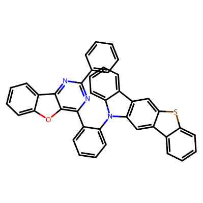 c1ccc(-c2nc(-c3ccccc3-n3c4ccccc4c4cc5sc6ccccc6c5cc43)c3oc4ccccc4c3n2)cc1